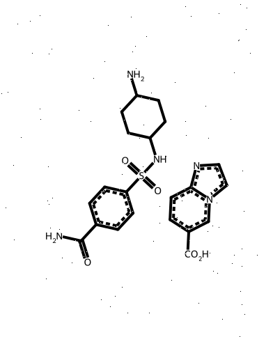 NC(=O)c1ccc(S(=O)(=O)NC2CCC(N)CC2)cc1.O=C(O)c1ccc2nccn2c1